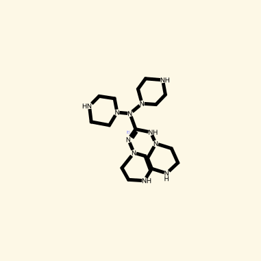 C1CN(/N=C(\NN2CCNCC2)N(N2CCNCC2)N2CCNCC2)CCN1